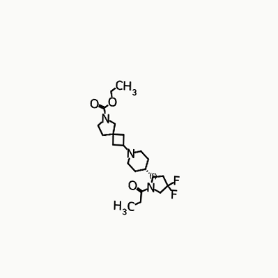 CCOC(=O)N1CCC2(CC(N3CCC([C@@H]4CC(F)(F)CN4C(=O)CC)CC3)C2)C1